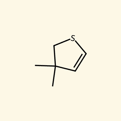 CC1(C)C=CSC1